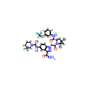 NC(=O)c1nn(CC(=O)N2[C@@H]3C[C@@H]3C[C@H]2C(=O)N(F)c2cccc(OC(F)(F)F)c2)c2ccc(NC(=O)N3CCCC(F)(F)C3)cc12